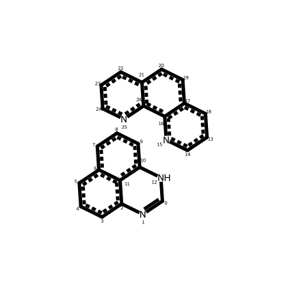 C1=Nc2cccc3cccc(c23)N1.c1cnc2c(c1)ccc1cccnc12